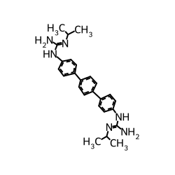 CC(C)N=C(N)Nc1ccc(-c2ccc(-c3ccc(NC(N)=NC(C)C)cc3)cc2)cc1